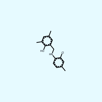 Cc1ccc(NCc2cc(C)cc(C)c2O)c(Cl)c1